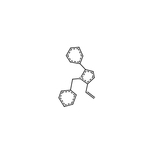 C=Cc1ccc(-c2ccccc2)n1Cc1ccccc1